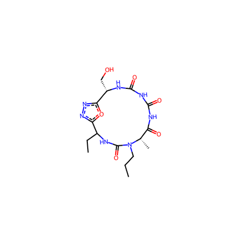 CCCN1C(=O)NC(CC)c2nnc(o2)[C@H](CO)NC(=O)NC(=O)NC(=O)[C@@H]1C